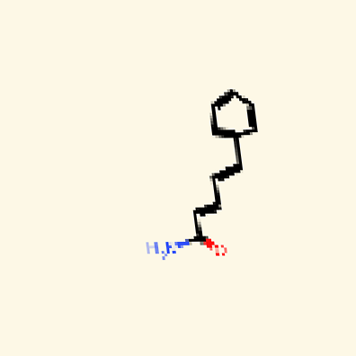 NC(=O)C=CC=Cc1ccccc1